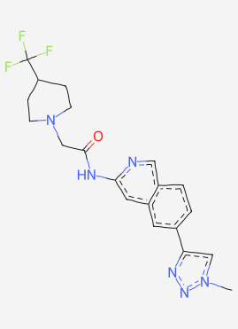 Cn1cc(-c2ccc3cnc(NC(=O)CN4CCC(C(F)(F)F)CC4)cc3c2)nn1